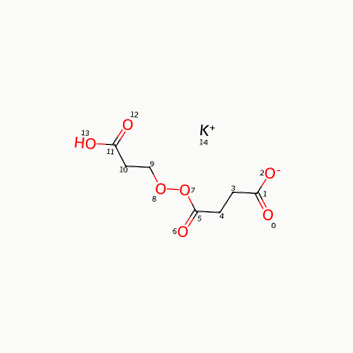 O=C([O-])CCC(=O)OOCCC(=O)O.[K+]